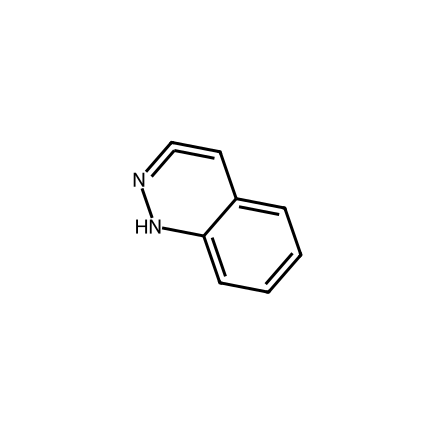 C1=Cc2ccccc2NN=1